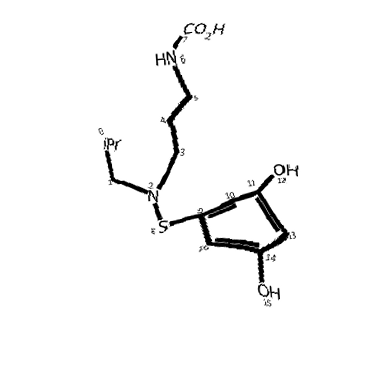 CC(C)CN(CCCNC(=O)O)Sc1cc(O)cc(O)c1